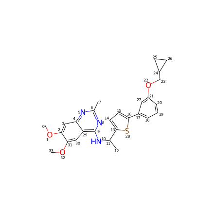 COc1cc2nc(C)nc(NC(C)c3ccc(-c4cccc(OCC5CC5)c4)s3)c2cc1OC